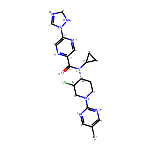 CCc1cnc(N2CC[C@@H](N(C(=O)c3cnc(N4C=NCN4)cn3)C3CC3)C(F)C2)nc1